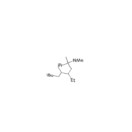 CCC(CC(C)(NC)C(C)C)C(C)CC(C)(C)C